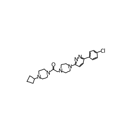 O=C(CN1CCN(c2ccc(-c3ccc(Cl)cc3)nn2)CC1)N1CCN(C2CCC2)CC1